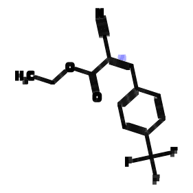 CCOC(=O)/C(C#N)=C\c1ccc(C(F)(F)F)cc1